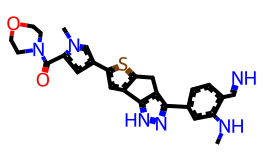 CNc1cc(-c2n[nH]c3c2Cc2sc(-c4cc(C(=O)N5CCOCC5)n(C)c4)cc2-3)ccc1C=N